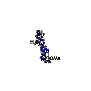 COc1cc2c(-c3cnn4cc(N5CCC(N6CCN(C)CC6)C(C)C5)cnc34)ccnc2cc1F